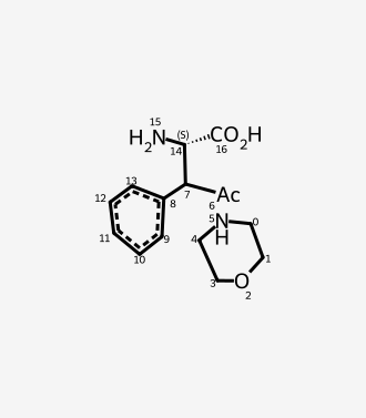 C1COCCN1.CC(=O)C(c1ccccc1)[C@H](N)C(=O)O